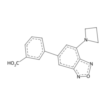 O=C(O)c1cccc(-c2cc(N3CCC3)c3nonc3c2)c1